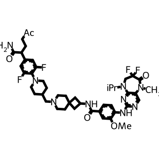 COc1cc(C(=O)NC2CC3(CCN(CC4CCN(c5c(F)cc(C(CCC(C)=O)C(N)=O)cc5F)CC4)CC3)C2)ccc1Nc1ncc2c(n1)N(C(C)C)CC(F)(F)C(=O)N2C